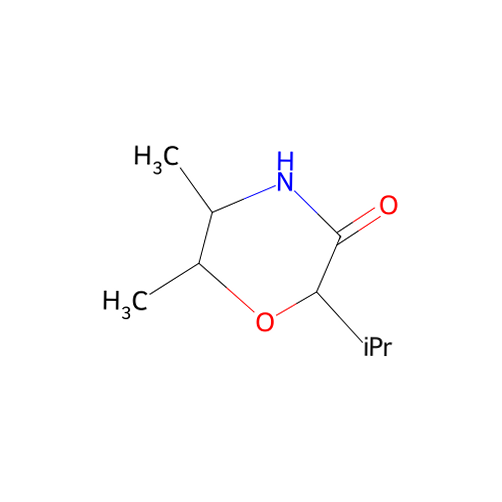 CC(C)C1OC(C)C(C)NC1=O